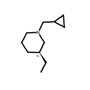 CC[C@H]1CCCN(CC2CC2)C1